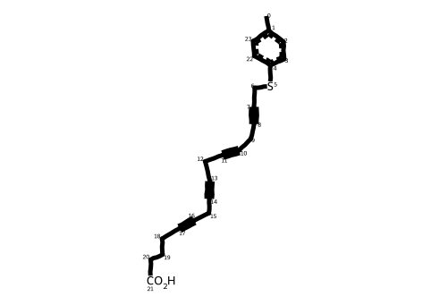 Cc1ccc(SCC#CCC#CCC#CCC#CCCCC(=O)O)cc1